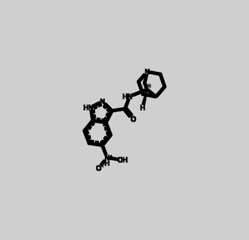 O=C(N[C@@H]1CN2CCC1CC2)c1n[nH]c2ccc([NH+]([O-])O)cc12